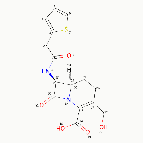 O=C(Cc1cccs1)N[C@@H]1C(=O)N2C(C(=O)O)=C(CO)CC[C@H]12